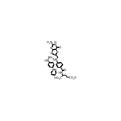 NNc1ccccc1.Nc1nc2ncc(CNc3ccc(C(=O)NC(CCC(=O)O)C(=O)O)cc3)nc2c(=O)[nH]1.c1ccnnc1